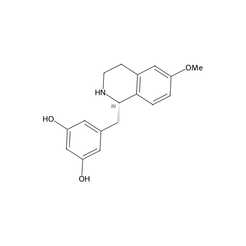 COc1ccc2c(c1)CCN[C@H]2Cc1cc(O)cc(O)c1